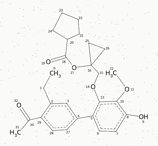 CCc1cc(-c2ccc(O)c(OC)c2OCC2(OC(=O)C3CCCC3)CC2)ccc1C(C)=O